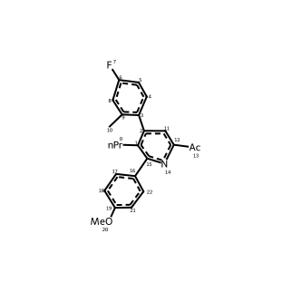 CCCc1c(-c2ccc(F)cc2C)cc(C(C)=O)nc1-c1ccc(OC)cc1